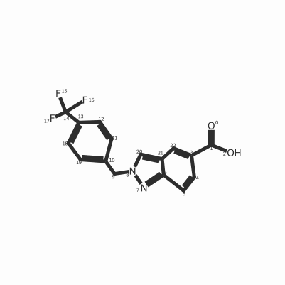 O=C(O)c1ccc2nn(Cc3ccc(C(F)(F)F)cc3)cc2c1